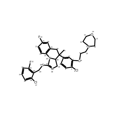 CC1(c2ccc(Cl)c(OCCN3CCOCC3)c2)Cc2cc(F)ccc2N2C(SCc3c(F)cccc3Cl)=NCC21